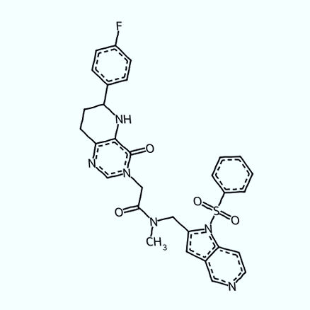 CN(Cc1cc2cnccc2n1S(=O)(=O)c1ccccc1)C(=O)Cn1cnc2c(c1=O)NC(c1ccc(F)cc1)CC2